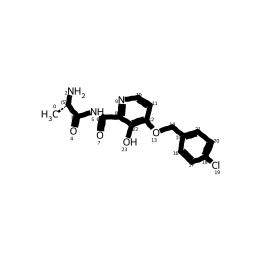 C[C@H](N)C(=O)NC(=O)c1nccc(OCc2ccc(Cl)cc2)c1O